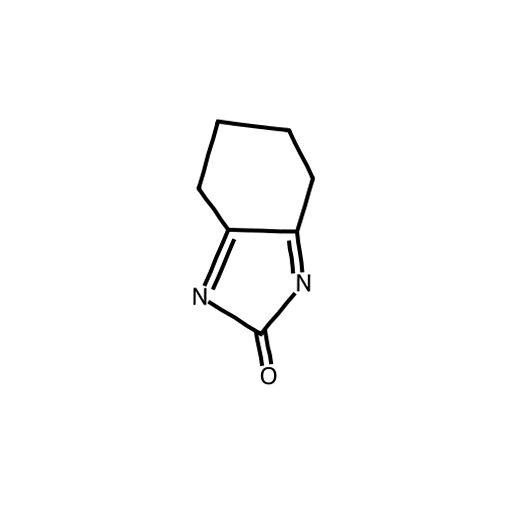 O=C1N=C2CCCCC2=N1